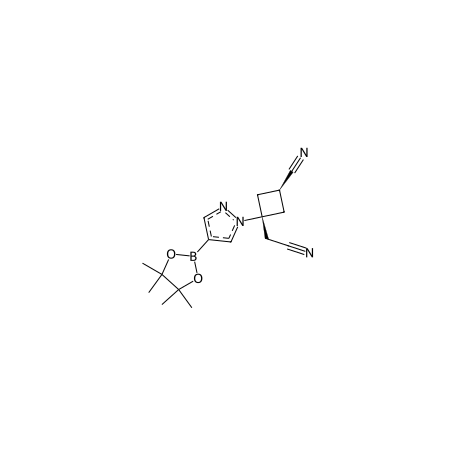 CC1(C)OB(c2cnn([C@]3(CC#N)C[C@@H](C#N)C3)c2)OC1(C)C